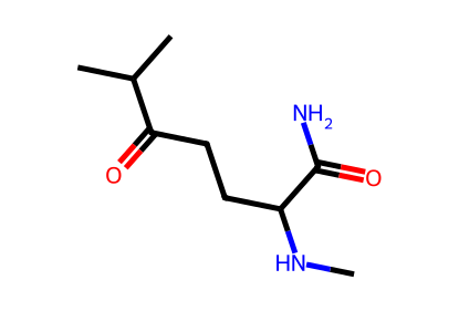 CNC(CCC(=O)C(C)C)C(N)=O